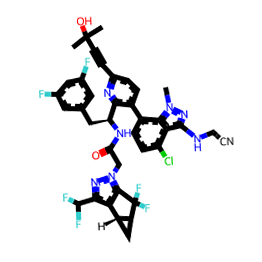 Cn1nc(NCC#N)c2c(Cl)ccc(-c3ccc(C#CC(C)(C)O)nc3[C@H](Cc3cc(F)cc(F)c3)NC(=O)Cn3nc(C(F)F)c4c3C(F)(F)C3C[C@H]43)c21